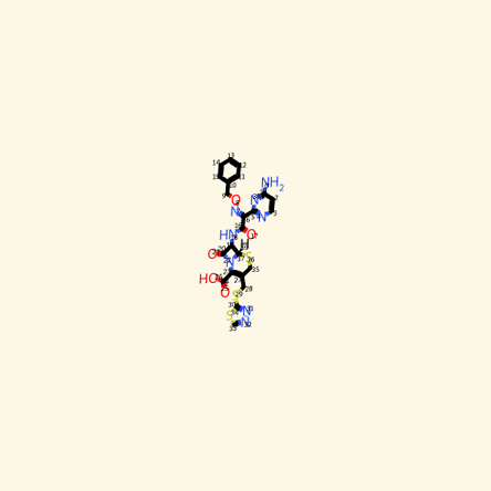 Nc1ccnc(C(=NOCc2ccccc2)C(=O)NC2C(=O)N3C(C(=O)O)=C(CSc4nncs4)CS[C@@H]23)n1